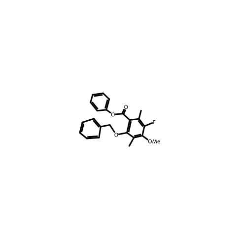 COc1c(C)c(OCc2ccccc2)c(C(=O)Oc2ccccc2)c(C)c1F